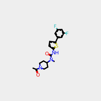 CC(=O)N1CCC(N(C)C(=O)Nc2ccc(-c3cc(F)cc(F)c3)s2)CC1